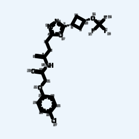 C=C(CCc1nnc([C@H]2C[C@@H](OC(F)(F)F)C2)o1)NC(=O)COc1ccc(Cl)cc1